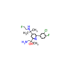 CC(O)(CN)c1cc(C(C)(C)NCCF)cc(-c2ccc(F)c(Cl)c2)n1